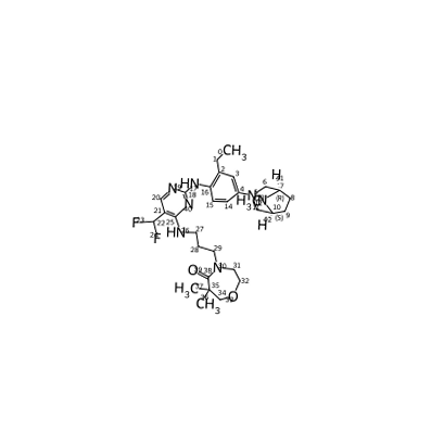 CCc1cc(N2C[C@H]3CC[C@@H](C2)N3C)ccc1Nc1ncc(C(F)F)c(NCCCN2CCOCC(C)(C)C2=O)n1